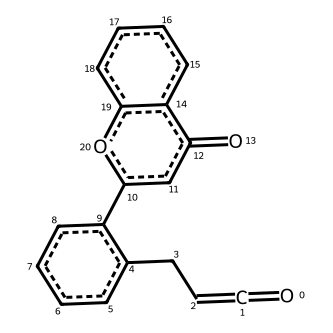 O=C=CCc1ccccc1-c1cc(=O)c2ccccc2o1